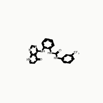 O=C(Nc1cccc(C(F)(F)F)c1)Nc1ccccc1Nc1ncnc2[nH]ccc(=O)c12